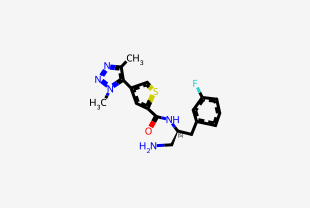 Cc1nnn(C)c1-c1csc(C(=O)N[C@H](CN)Cc2cccc(F)c2)c1